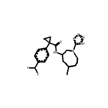 CC1CCN(c2nnn[nH]2)CC(NC(=O)C2(c3ccc(C(F)F)cc3)CC2)C1